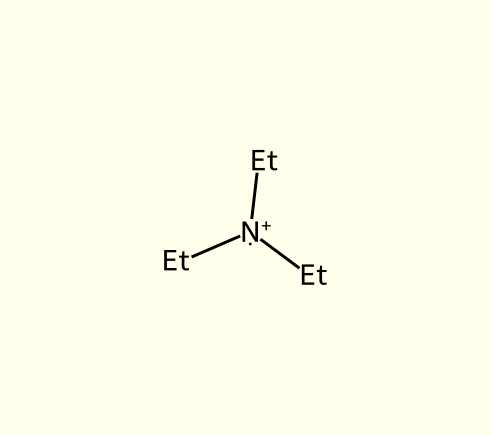 CC[N+](CC)CC